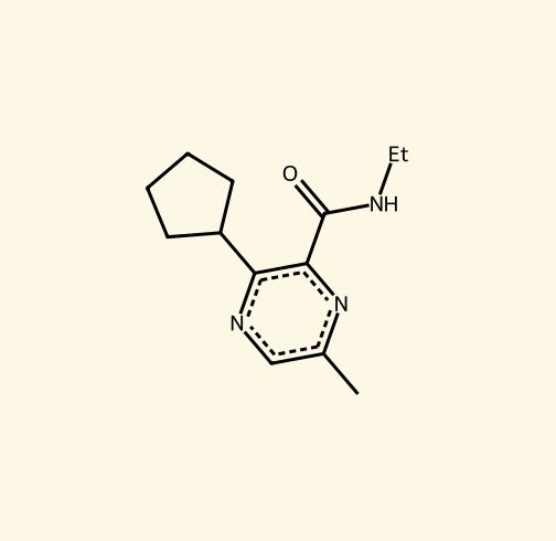 CCNC(=O)c1nc(C)cnc1C1CCCC1